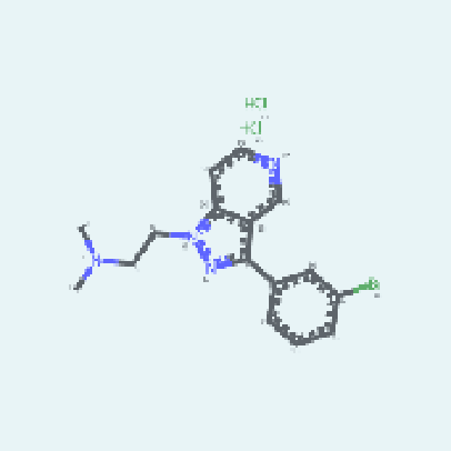 CN(C)CCn1nc(-c2cccc(Br)c2)c2cnccc21.Cl.Cl